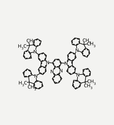 CC1(C)c2ccccc2N(c2ccc3c(c2)c2cc(N4c5ccccc5C(C)(C)c5ccccc54)ccc2n3-c2ccc(-n3c4ccc(N5c6ccccc6C(C)(C)c6ccccc65)cc4c4cc(N5c6ccccc6C(C)(C)c6ccccc65)ccc43)c3nc4ccccc4nc23)c2ccccc21